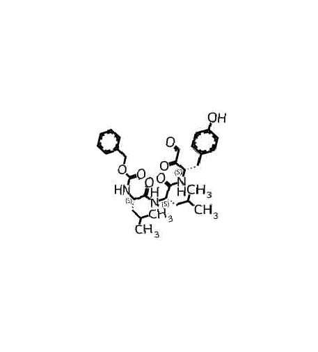 CC(C)C[C@H](NC(=O)OCc1ccccc1)C(=O)N[C@@H](CC(C)C)C(=O)N[C@@H](Cc1ccc(O)cc1)C(=O)C=O